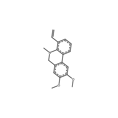 C=Cc1cccc2c1N(C)Cc1cc(OC)c(OC)cc1-2